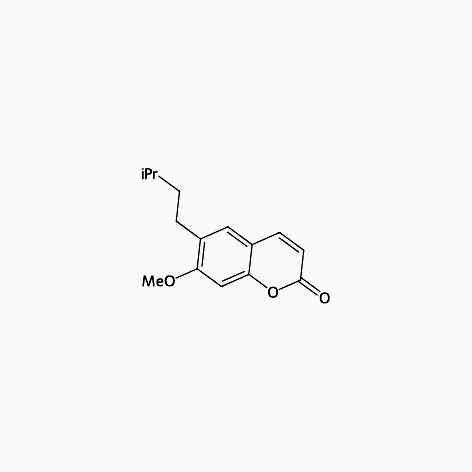 COc1cc2oc(=O)ccc2cc1CCC(C)C